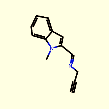 C#CC/N=C/c1cc2ccccc2n1C